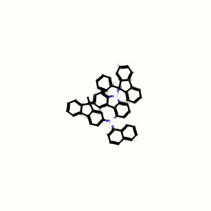 CC1(C)c2ccccc2-c2ccc(N(c3cccc4ccccc34)c3cccc4c3c3ccccc3n4C3(c4ccccc4)c4ccccc4-c4ccccc43)cc21